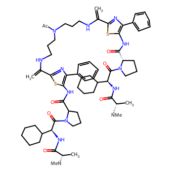 C=C(NCCCN(CCCNC(=C)c1nc(-c2ccccc2)c(NC(=O)[C@@H]2CCCN2C(=O)[C@@H](NC(=O)[C@H](C)NC)C2CCCCC2)s1)C(C)=O)c1nc(-c2ccccc2)c(NC(=O)C2CCCN2C(=O)[C@@H](NC(=O)[C@H](C)NC)C2CCCCC2)s1